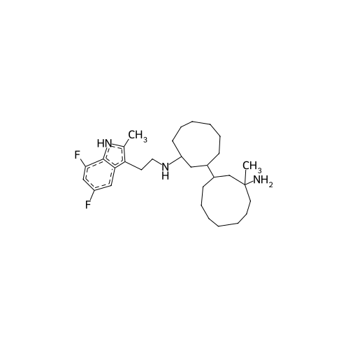 Cc1[nH]c2c(F)cc(F)cc2c1CCNC1CCCCCCC(C2CCCCCCCC(C)(N)C2)C1